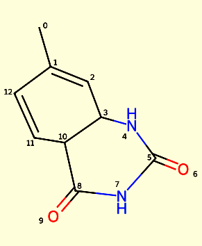 CC1=CC2NC(=O)NC(=O)C2C=C1